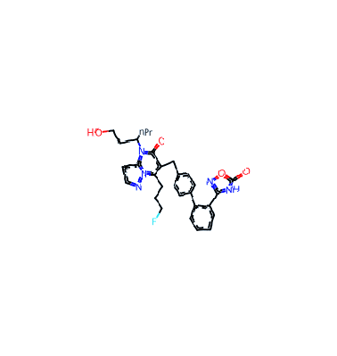 CCCC(CCO)n1c(=O)c(Cc2ccc(-c3ccccc3-c3noc(=O)[nH]3)cc2)c(CCCF)n2nccc12